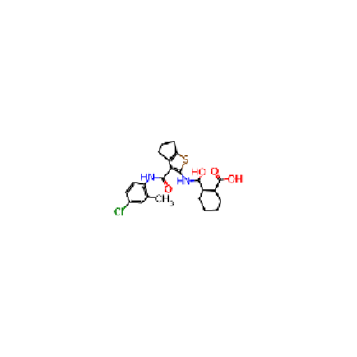 Cc1cc(Cl)ccc1NC(=O)c1c(NC(O)C2CCCCC2C(=O)O)sc2c1CCC2